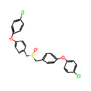 [O-][S+](Cc1ccc(Oc2ccc(Cl)cc2)cc1)Cc1ccc(Oc2ccc(Cl)cc2)cc1